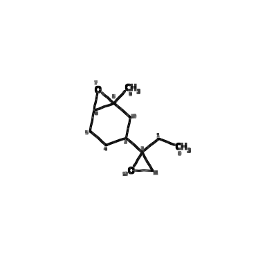 CCC1(C2CCC3OC3(C)C2)CO1